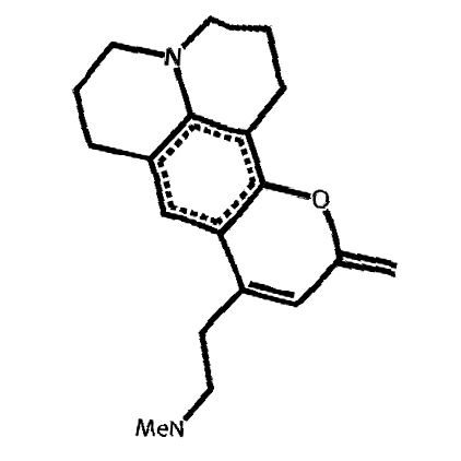 C=C1C=C(CCNC)c2cc3c4c(c2O1)CCCN4CCC3